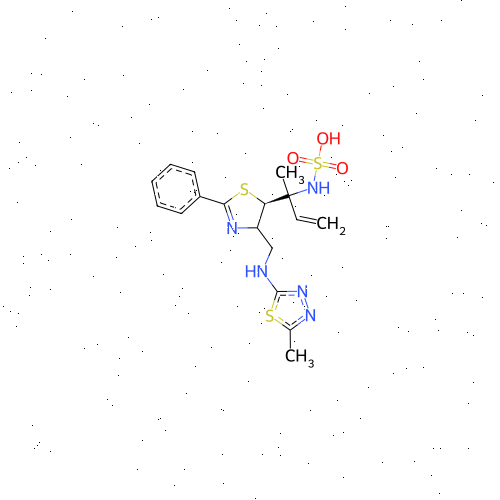 C=CC(C)(NS(=O)(=O)O)[C@@H]1SC(c2ccccc2)=NC1CNc1nnc(C)s1